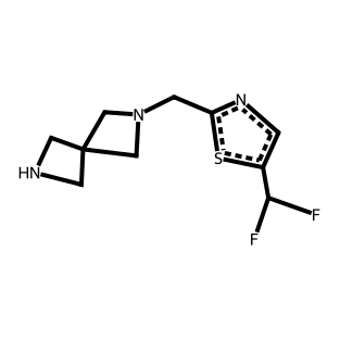 FC(F)c1cnc(CN2CC3(CNC3)C2)s1